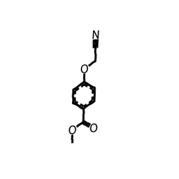 COC(=O)c1ccc(OCC#N)cc1